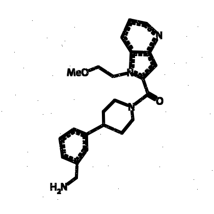 COCCn1c(C(=O)N2CCC(c3cccc(CN)c3)CC2)cc2ncccc21